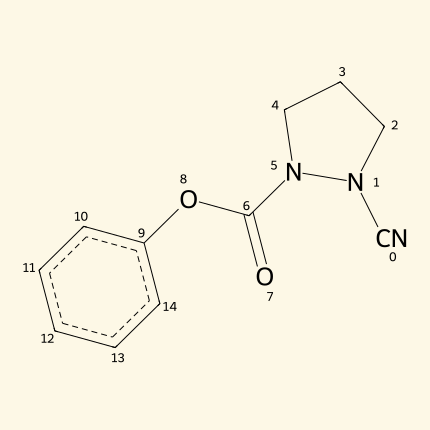 N#CN1CCCN1C(=O)Oc1ccccc1